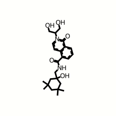 CC1(C)CC(C)(C)CC(O)(CNC(=O)c2cccc3c(=O)n(C(CO)CO)ccc23)C1